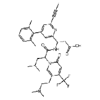 CC#Cc1cc(-c2c(C)cccc2C)cc([C@H](CC(=O)O)NC(=O)[C@H](CC(C)C)n2cc(CCN(C)C)c(C(F)(F)F)cc2=O)n1